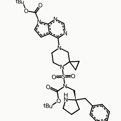 CC(C)(C)OC(=O)N(C[C@@]1(Cc2ccccc2)CCCN1)S(=O)(=O)N1CCN(c2ncnc3c2ccn3C(=O)OC(C)(C)C)CC12CC2